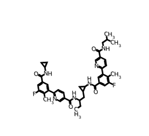 CCC(CC1CC1NC(=O)c1cc(F)c(C)c(-c2ccc(C(=O)NCC(C)C)cn2)c1)NC(=O)c1ccc(-c2cc(C(=O)NC3CC3)cc(F)c2C)nc1